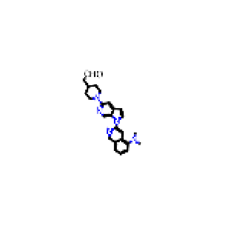 CN(C)c1cccc2cnc(-n3ccc4cc(N5CCC(CC=O)CC5)ncc43)cc12